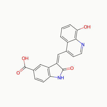 O=C1Nc2ccc(C(=O)O)cc2C1=Cc1ccnc2c(O)cccc12